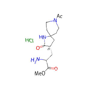 COC(=O)C(N)C[C@H]1CC2(CCN(C(C)=O)CC2)NC1=O.Cl